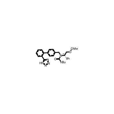 CCCCC(=O)N(Cc1ccc(-c2ccccc2-c2nnn[nH]2)cc1)[C@H](COOC)C(C)C